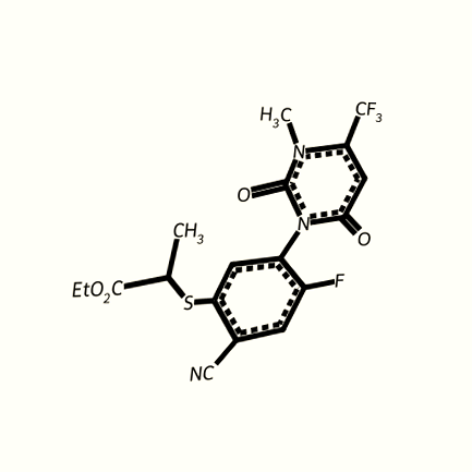 CCOC(=O)C(C)Sc1cc(-n2c(=O)cc(C(F)(F)F)n(C)c2=O)c(F)cc1C#N